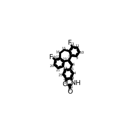 O=c1[nH]c2cc(C=C3c4cccc(F)c4CCc4c(F)cccc43)ccc2o1